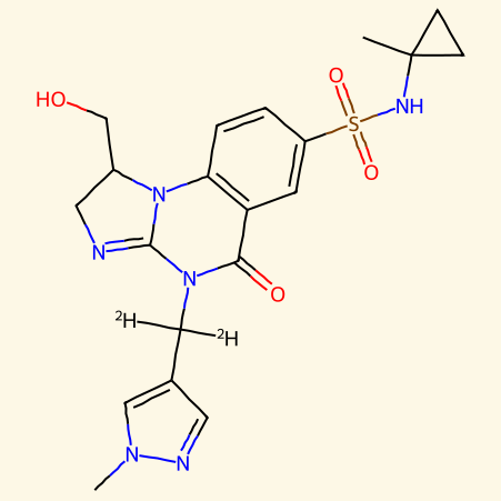 [2H]C([2H])(c1cnn(C)c1)N1C(=O)c2cc(S(=O)(=O)NC3(C)CC3)ccc2N2C1=NCC2CO